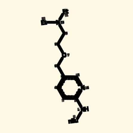 CCCCNc1ccc(COCCN(CC)CC)cn1